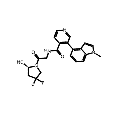 Cn1ccc2c(-c3cnccc3C(=O)NCC(=O)N3CC(F)(F)C[C@H]3C#N)cccc21